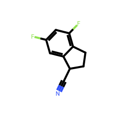 N#CC1CCc2c(F)cc(F)cc21